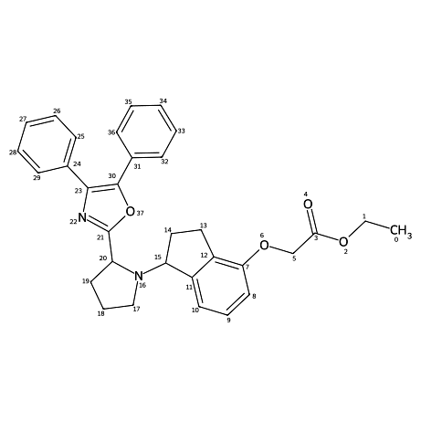 CCOC(=O)COc1cccc2c1CCC2N1CCCC1c1nc(-c2ccccc2)c(-c2ccccc2)o1